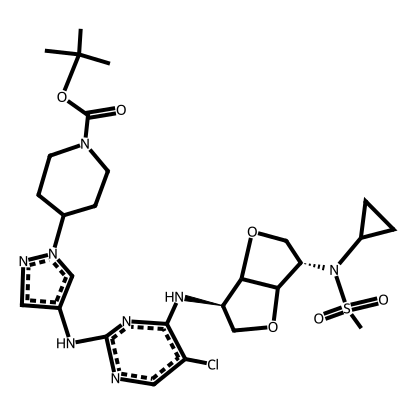 CC(C)(C)OC(=O)N1CCC(n2cc(Nc3ncc(Cl)c(N[C@@H]4COC5C4OC[C@@H]5N(C4CC4)S(C)(=O)=O)n3)cn2)CC1